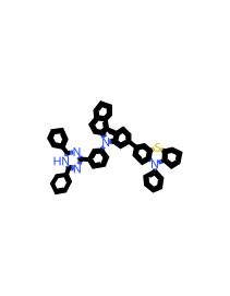 C1=CCCC(C2=NC(c3cccc(-n4c5cc(-c6ccc7c(c6)Sc6ccccc6N7c6ccccc6)ccc5c5c6ccccc6ccc54)c3)=NC(c3ccccc3)N2)=C1